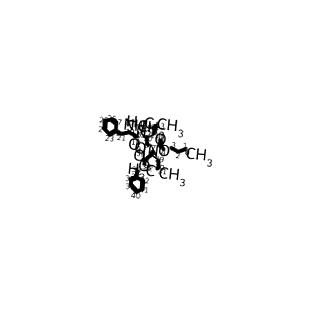 CCCCOC(=O)N(C(=O)[C@H](CC(C)C)N(C)C(=O)[C@@H](N)Cc1ccccc1)[C@@H](CC(C)C)C(=O)OCc1ccccc1